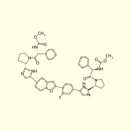 COC(=O)N[C@@H](C(=O)N1CCC[C@H]1c1ncc(-c2ccc(-c3cc4cc(-c5cnc([C@@H]6CCCN6C(=O)[C@H](NC(=O)OC)c6ccccc6)[nH]5)ccc4o3)c(F)c2)[nH]1)c1ccccc1